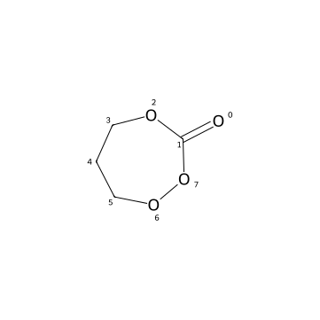 O=C1OCCCOO1